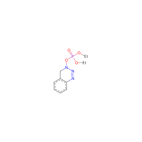 CCOP(=O)(OCC)ON1Cc2ccccc2N=N1